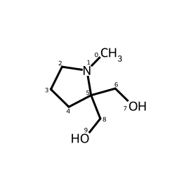 CN1CCCC1(CO)CO